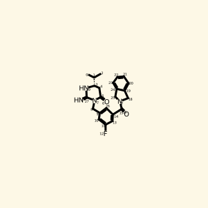 CC(C)[C@@H]1CC(=O)N(Cc2cc(F)cc(C(=O)N3Cc4ccccc4C3)c2)C(=N)N1